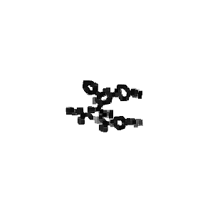 CCOC(=O)N1CCN(C(=O)[C@H](CCC(=O)OC(C)(C)C)NC(=O)c2cc(N3CCC(O)CC3)nc(-c3ccccc3)n2)CC1